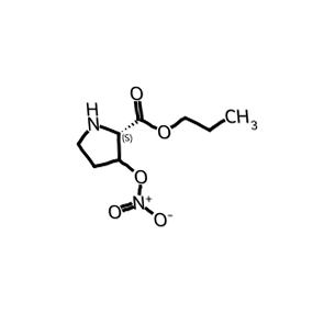 CCCOC(=O)[C@H]1NCCC1O[N+](=O)[O-]